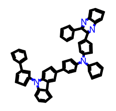 c1ccc(-c2cccc(-n3c4ccccc4c4cc(-c5ccc(N(c6ccccc6)c6ccc(-c7nc8ccccc8nc7-c7ccccc7)cc6)cc5)ccc43)c2)cc1